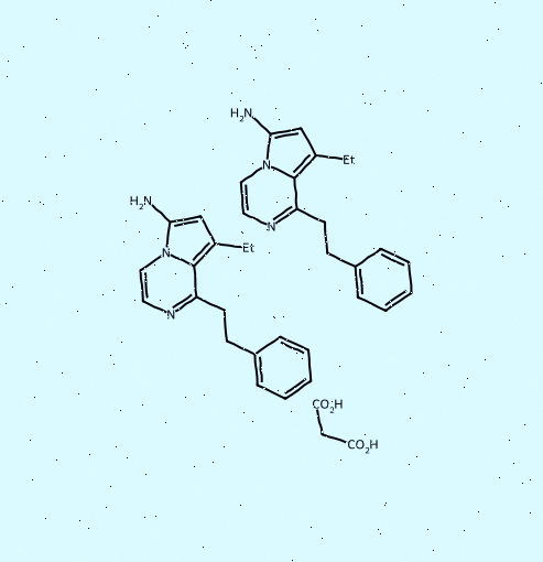 CCc1cc(N)n2ccnc(CCc3ccccc3)c12.CCc1cc(N)n2ccnc(CCc3ccccc3)c12.O=C(O)CC(=O)O